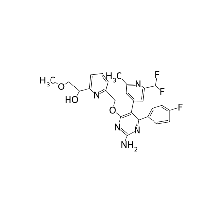 COCC(O)c1cccc(COc2nc(N)nc(-c3ccc(F)cc3)c2-c2cc(C)nc(C(F)F)c2)n1